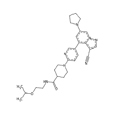 CC(C)OCCNC(=O)C1CCN(c2ccc(-c3cc(N4CCCC4)cn4ncc(C#N)c34)cn2)CC1